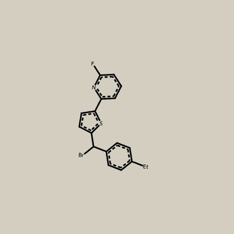 CCc1ccc(C(Br)c2ccc(-c3cccc(F)n3)s2)cc1